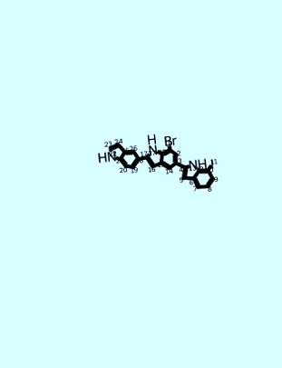 Brc1cc(-c2cc3cccc(I)c3[nH]2)cc2cc(-c3ccc4[nH]ccc4c3)[nH]c12